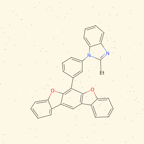 CCc1nc2ccccc2n1-c1cccc(-c2c3oc4ccccc4c3cc3c2oc2ccccc23)c1